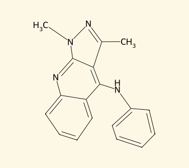 Cc1nn(C)c2nc3ccccc3c(Nc3ccccc3)c12